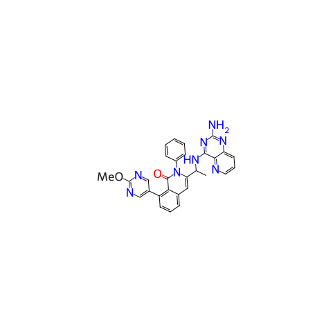 COc1ncc(-c2cccc3cc(C(C)Nc4nc(N)nc5cccnc45)n(-c4ccccc4)c(=O)c23)cn1